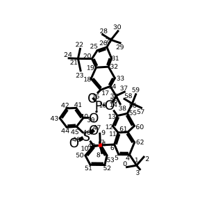 CC(C)(C)c1cc(C(C)(C)C)c2cc(OP(Oc3cc4c(C(C)(C)C)cc(C(C)(C)C)cc4cc3C(C)(C)C)Oc3ccccc3S(=O)(=O)c3ccccc3)c(C(C)(C)C)cc2c1